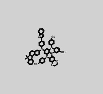 CC(C)(C)c1ccc(N2c3ccc(C(C)(C)C)cc3B3c4cc5c(cc4N(c4ccc(C(C)(C)C)cc4)c4cc(N(c6ccc(-c7cc8ccccc8o7)cc6)c6ccc7c8c(ccc7c6)C(C)(C)c6ccccc6-8)cc2c43)OCCO5)cc1